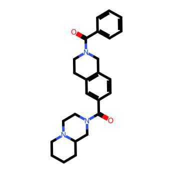 O=C(c1ccccc1)N1CCc2cc(C(=O)N3CCN4CCCCC4C3)ccc2C1